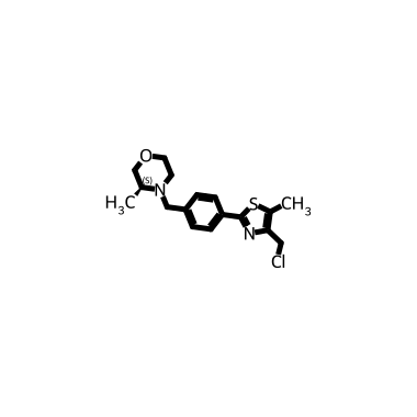 Cc1sc(-c2ccc(CN3CCOC[C@@H]3C)cc2)nc1CCl